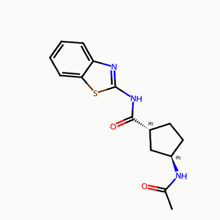 CC(=O)N[C@@H]1CC[C@@H](C(=O)Nc2nc3ccccc3s2)C1